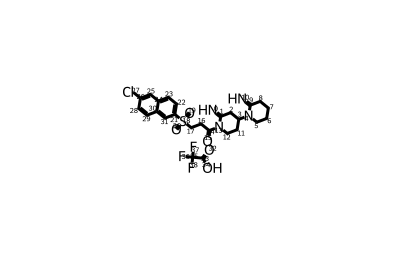 N=C1CC(N2CCCCC2=N)CCN1C(=O)CCS(=O)(=O)c1ccc2cc(Cl)ccc2c1.O=C(O)C(F)(F)F